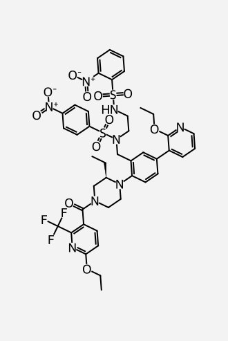 CCOc1ccc(C(=O)N2CCN(c3ccc(-c4cccnc4OCC)cc3CN(CCNS(=O)(=O)c3ccccc3[N+](=O)[O-])S(=O)(=O)c3ccc([N+](=O)[O-])cc3)[C@H](CC)C2)c(C(F)(F)F)n1